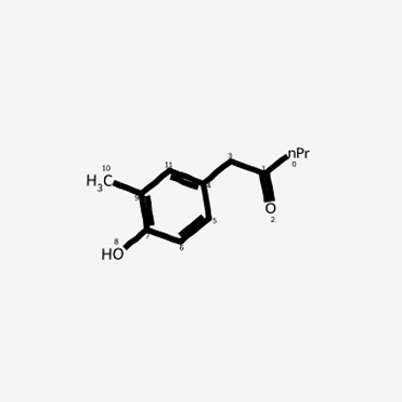 CCCC(=O)Cc1ccc(O)c(C)c1